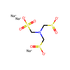 O=S([O-])CN(CS(=O)[O-])CS(=O)(=O)[O-].[Na+].[Na+].[Na+]